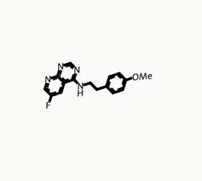 COc1ccc(CCNc2ncnc3ncc(F)cc23)cc1